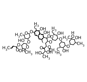 C/C=C/C(=O)O[C@@H]1C[C@H](O[C@@H]2C[C@H](Oc3cc4cc5c(c(O)c4c(O)c3C)C(=O)[C@@H](O[C@H]3C[C@@H](O[C@@H]4CC(C)[C@H](O)[C@H](O[C@@H]6CC(C)[C@@H](O)[C@@](C)(O)C6)C4)[C@H](O)C(C)O3)[C@H]([C@H](OC)C(=O)[C@@H](O)[C@@H](C)O)C5)OC(C)[C@H]2O)OC(C)[C@H]1O